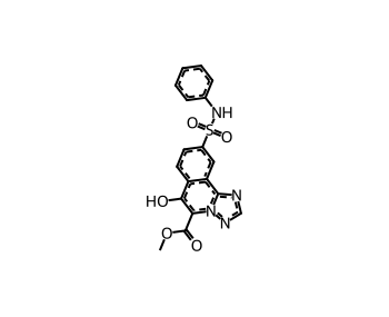 COC(=O)c1c(O)c2ccc(S(=O)(=O)Nc3ccccc3)cc2c2ncnn12